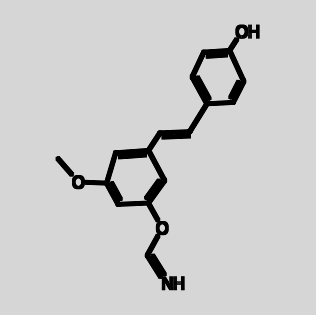 COc1cc(/C=C/c2ccc(O)cc2)cc(OC=N)c1